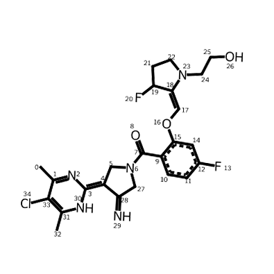 CC1=N/C(=C2\CN(C(=O)c3ccc(F)cc3O/C=C3\C(F)CCN3CCO)CC2=N)NC(C)=C1Cl